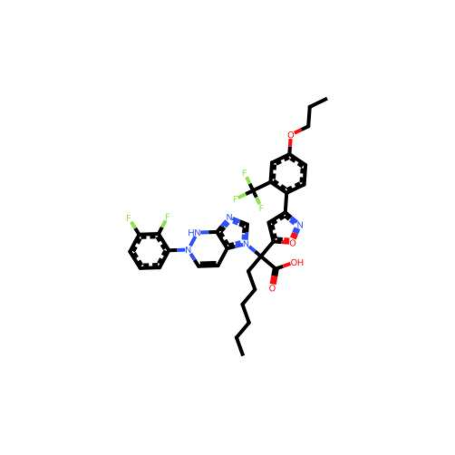 CCCCCCC(C(=O)O)(c1cc(-c2ccc(OCCC)cc2C(F)(F)F)no1)n1cnc2c1C=CN(c1cccc(F)c1F)N2